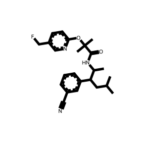 CC(C)CC(c1cccc(C#N)c1)C(C)NC(=O)C(C)(C)Oc1ccc(CF)cn1